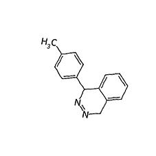 Cc1ccc(C2N=NCc3ccccc32)cc1